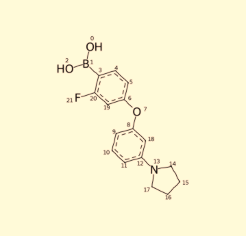 OB(O)c1ccc(Oc2cccc(N3CCCC3)c2)cc1F